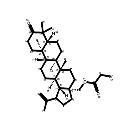 C=C(C)C1CC[C@]2(COC(=O)CBr)CC[C@]3(C)[C@H](CC[C@@H]4[C@@]5(C)CCC(=O)C(C)(C)[C@@H]5CC[C@]43C)[C@@H]12